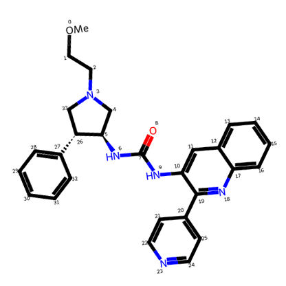 COCCN1C[C@@H](NC(=O)Nc2cc3ccccc3nc2-c2ccncc2)[C@H](c2ccccc2)C1